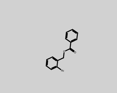 CC(=O)c1ccccc1COC(=O)c1ccccc1